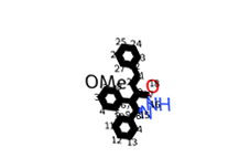 COc1ccccc1-c1c(-c2ccccc2)n[nH]c(=O)c1/C=C/c1ccccc1